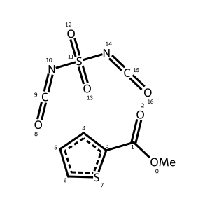 COC(=O)c1cccs1.O=C=NS(=O)(=O)N=C=O